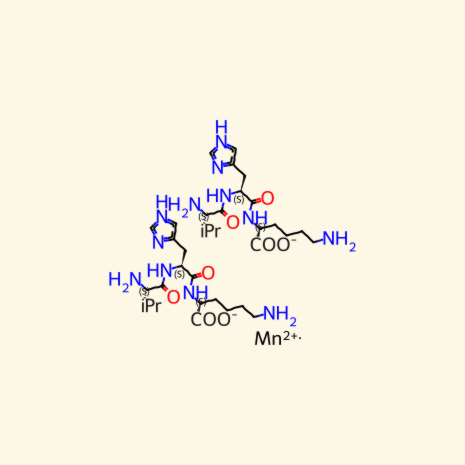 CC(C)[C@H](N)C(=O)N[C@@H](Cc1c[nH]cn1)C(=O)N[C@@H](CCCCN)C(=O)[O-].CC(C)[C@H](N)C(=O)N[C@@H](Cc1c[nH]cn1)C(=O)N[C@@H](CCCCN)C(=O)[O-].[Mn+2]